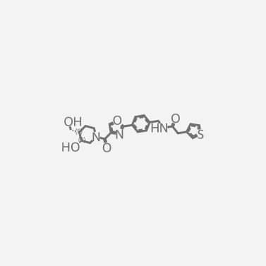 O=C(Cc1ccsc1)NCc1ccc(-c2nc(C(=O)N3CC[C@@H](CO)[C@@H](O)C3)co2)cc1